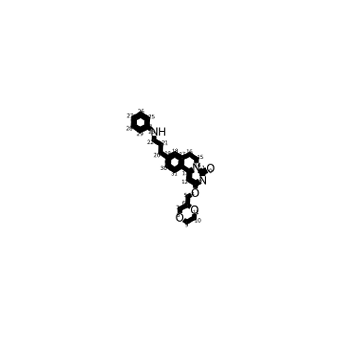 O=c1nc(OCC2COCCO2)cc2n1CCc1cc(CCCNc3ccccc3)ccc1-2